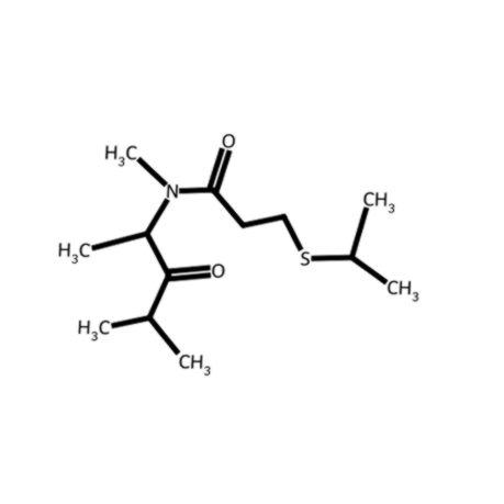 CC(C)SCCC(=O)N(C)C(C)C(=O)C(C)C